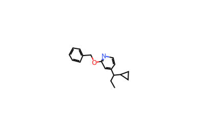 CCC(c1ccnc(OCc2ccccc2)c1)C1CC1